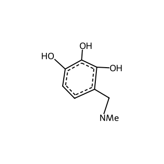 CNCc1ccc(O)c(O)c1O